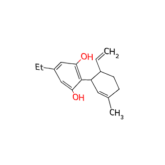 C=CC1CCC(C)=CC1c1c(O)cc(CC)cc1O